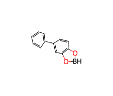 B1Oc2ccc(-c3ccccc3)cc2O1